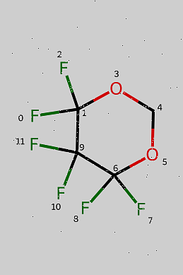 FC1(F)OCOC(F)(F)C1(F)F